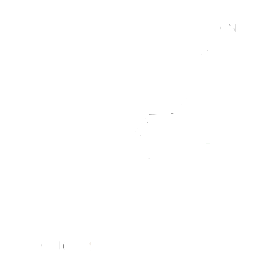 N#Cc1ccc(-c2ccc(-c3ccc(SC=O)cc3)cc2F)cc1F